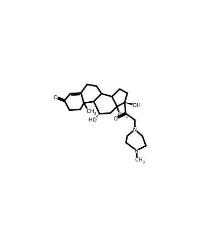 CN1CCN(CC(=O)[C@@]2(O)CCC3C4CCC5=CC(=O)CCC5(C)C4[C@@H](O)CC32C)CC1